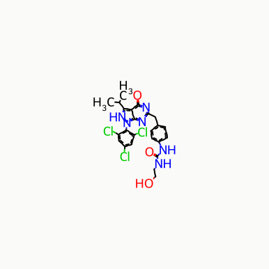 CC(C)c1[nH]n(-c2c(Cl)cc(Cl)cc2Cl)c2nc(Cc3ccc(NC(=O)NCCO)cc3)nc(=O)c1-2